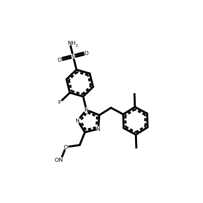 Cc1ccc(C)c(Cc2nc(CON=O)nn2-c2ccc(S(N)(=O)=O)cc2F)c1